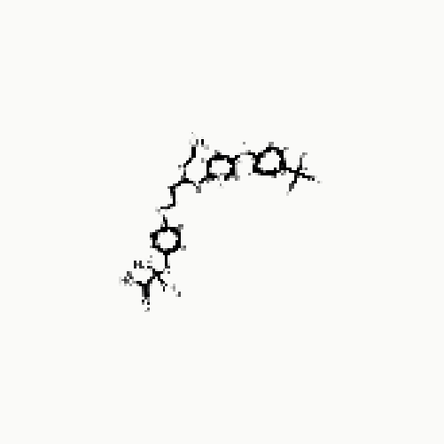 CCC[C@@H](CCOc1ccc(OC(C)(C)C(=O)O)cc1)Oc1ccc(Oc2ccc(C(F)(F)F)cc2)cc1